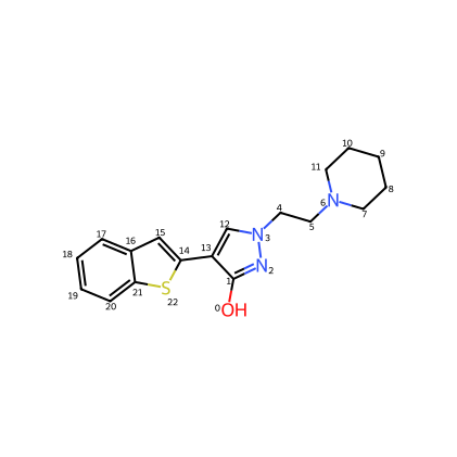 Oc1nn(CCN2CCCCC2)cc1-c1cc2ccccc2s1